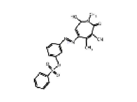 CC1=C(C#N)C(=O)N(C)C(O)C=C1/N=N/c1cccc(OS(=O)(=O)c2ccccc2)c1